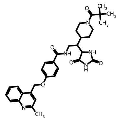 Cc1cc(COc2ccc(C(=O)NCC(C3CCN(C(=O)C(C)(C)C)CC3)C3NC(=O)NC3=O)cc2)c2ccccc2n1